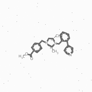 COC(=O)c1ccc(CN2C[C@@H](C)N(Cc3ccccc3-c3ccncc3)[C@@H](C)C2)cc1